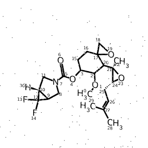 COC1C(OC(=O)N2CC3[C@@H](C2)C3(F)F)CCC2(CO2)C1[C@@]1(C)O[C@@H]1CC=C(C)C